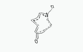 O=c1ccn(Cl)cc1